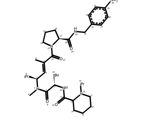 C/C(=C\[C@H](C(C)C)N(C)C(=O)[C@@H](NC(=O)C1CCCCN1C(C)C)C(C)(C)C)C(=O)N1CCC[C@H]1C(=O)NCc1ccc([N+](=O)[O-])cc1